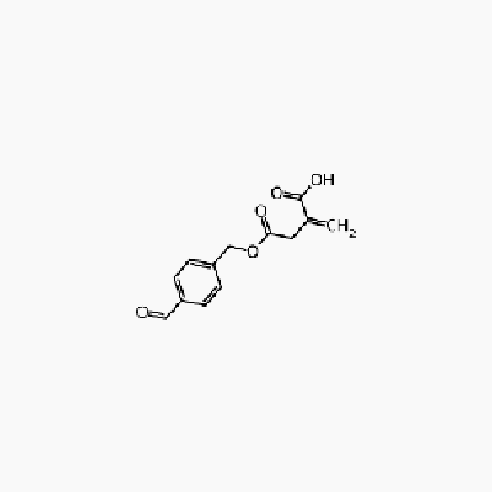 C=C(CC(=O)OCc1ccc(C=O)cc1)C(=O)O